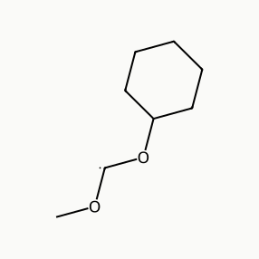 CO[CH]OC1CCCCC1